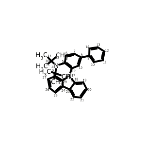 CC(C)(C)N(c1ccc(-c2ccccc2)cc1-n1c2ccccc2c2ccccc21)C(C)(C)C